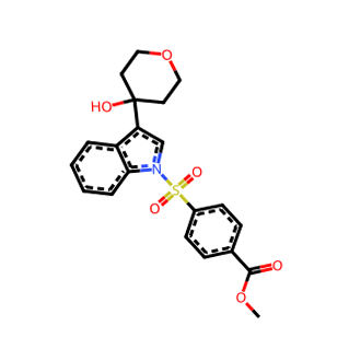 COC(=O)c1ccc(S(=O)(=O)n2cc(C3(O)CCOCC3)c3ccccc32)cc1